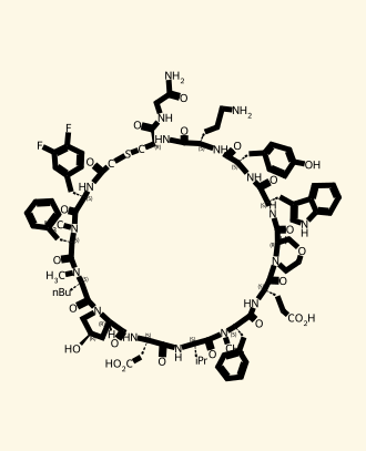 CCCC[C@H]1C(=O)N2C[C@H](O)C[C@@H]2C(=O)N[C@@H](CC(=O)O)C(=O)N[C@@H](C(C)C)C(=O)N(C)[C@@H](Cc2ccccc2)C(=O)N[C@@H](CCC(=O)O)C(=O)N2CCOC[C@@H]2C(=O)N[C@@H](Cc2c[nH]c3ccccc23)C(=O)N[C@@H](Cc2ccc(O)cc2)C(=O)N[C@@H](CCCN)C(=O)N[C@H](C(=O)NCC(N)=O)CSCC(=O)N[C@@H](Cc2ccc(F)c(F)c2)C(=O)N(C)[C@@H](Cc2ccccc2)C(=O)N1C